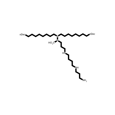 CCCCCCCCCCCCCCCCCCN(CCCCCCCCCCCCCCCCCC)N(CCCNCCCCNCCCN)C(=O)O